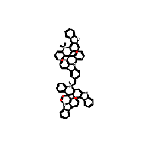 C[Si]1(C)c2ccccc2C2(c3ccccc3-n3c4ccc(C[Si]5(C)c6ccccc6C6(c7ccccc7-n7c8ccccc8c8cccc6c87)c6cc7c(cc65)oc5ccccc57)cc4c4cccc2c43)c2ccc3oc4ccccc4c3c21